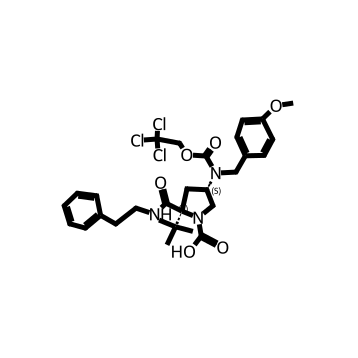 COc1ccc(CN(C(=O)OCC(Cl)(Cl)Cl)[C@@H]2CN(C(=O)O)[C@](C(=O)NCCc3ccccc3)(C(C)(C)C)C2)cc1